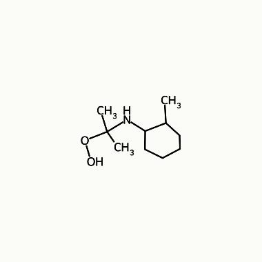 CC1CCCCC1NC(C)(C)OO